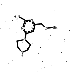 CC(C)(C)OCc1cc(N2CCNCC2)nc(N)n1